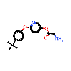 CC(C)(C)c1ccc(Oc2ccc(OC(=O)CN)cn2)cc1